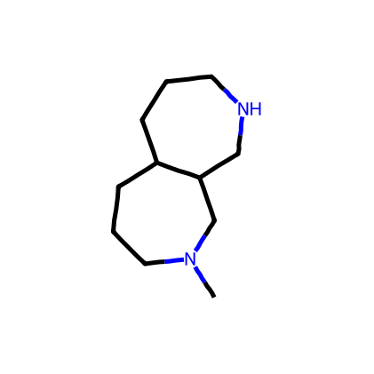 CN1CCCC2CCCNCC2C1